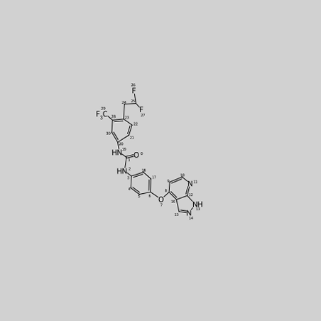 O=C(Nc1ccc(Oc2ccnc3[nH]ncc23)cc1)Nc1ccc(CC(F)F)c(C(F)(F)F)c1